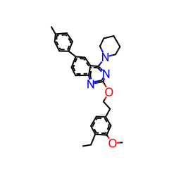 CCc1ccc(CCOc2nc(N3CCCCC3)c3cc(-c4ccc(C)cc4)ccc3n2)cc1OC